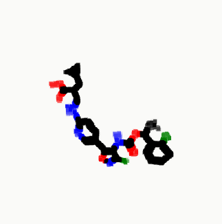 CC(OC(=O)Nc1c(F)noc1-c1ccc(NCC(CC2CC2)C(=O)O)nc1)c1ccccc1Cl